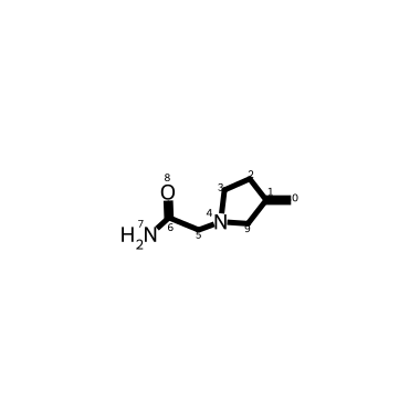 C=C1CCN(CC(N)=O)C1